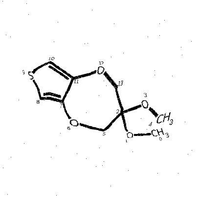 COC1(OC)COc2cscc2OC1